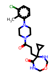 Cc1c(Cl)cccc1N1CCN(C(=O)CCC2(C3CC3)NCOCNC2=O)CC1